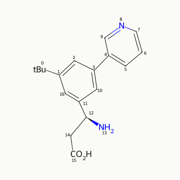 CC(C)(C)c1cc(-c2cccnc2)cc([C@@H](N)CC(=O)O)c1